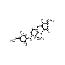 COc1cc(C)c(Cc2c(C)ccc(Cc3cc(C)c(CO)cc3C)c2OC)cc1C